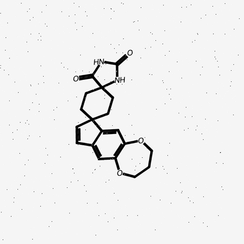 O=C1NC(=O)C2(CCC3(C=Cc4cc5c(cc43)OCCCO5)CC2)N1